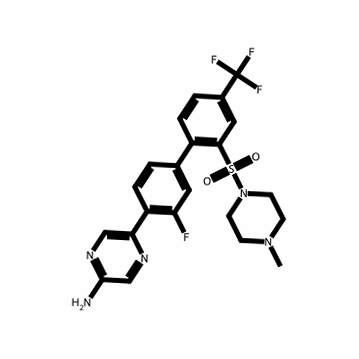 CN1CCN(S(=O)(=O)c2cc(C(F)(F)F)ccc2-c2ccc(-c3cnc(N)cn3)c(F)c2)CC1